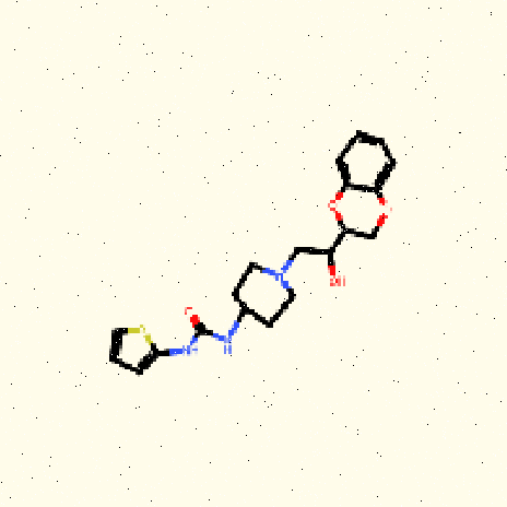 O=C(Nc1cccs1)NC1CCN(CC(O)C2COc3ccccc3O2)CC1